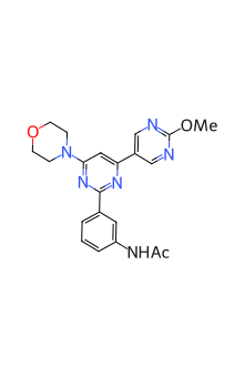 COc1ncc(-c2cc(N3CCOCC3)nc(-c3cccc(NC(C)=O)c3)n2)cn1